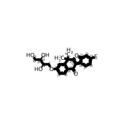 CC1(C)c2cc(OC[C@@H](O)[C@H](O)CO)ccc2C(=O)c2c1oc1cc(F)ccc21